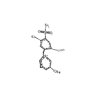 NS(=O)(=O)c1cc(C(=O)[O-])c(-[n+]2cccc(O)c2)cc1Cl